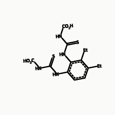 CCc1ccc(NC(=S)NC(=O)O)c(NC(=S)NC(=O)O)c1CC